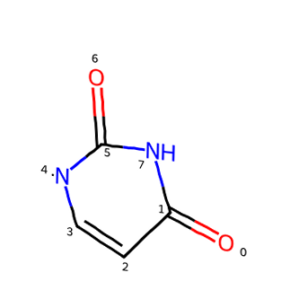 O=C1C=C[N]C(=O)N1